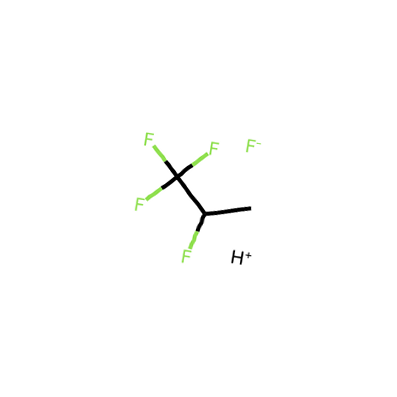 CC(F)C(F)(F)F.[F-].[H+]